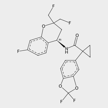 O=C(N[C@@H]1CC(CF)(CF)Oc2cc(F)ccc21)C1(c2ccc3c(c2)OC(F)(F)O3)CC1